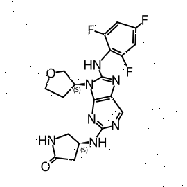 O=C1C[C@H](Nc2ncc3nc(Nc4c(F)cc(F)cc4F)n([C@H]4CCOC4)c3n2)CN1